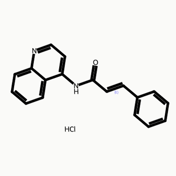 Cl.O=C(/C=C/c1ccccc1)Nc1ccnc2ccccc12